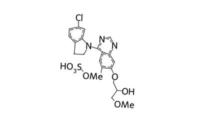 COCC(O)COc1cc2ncnc(N3CCc4ccc(Cl)cc43)c2cc1OC.CS(=O)(=O)O